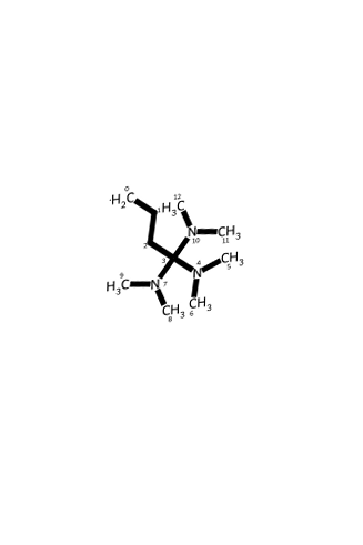 [CH2]CCC(N(C)C)(N(C)C)N(C)C